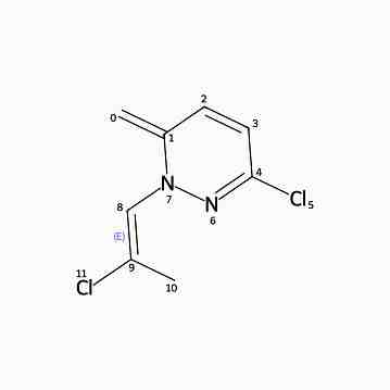 C=C1C=CC(Cl)=NN1/C=C(\C)Cl